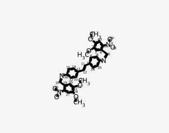 COc1cc(/C=N\c2ccc(/C=C/c3ccc(/N=C\c4cc(OC)c(OC)cc4[N+](=O)[O-])cc3)cc2)c([N+](=O)[O-])cc1OC